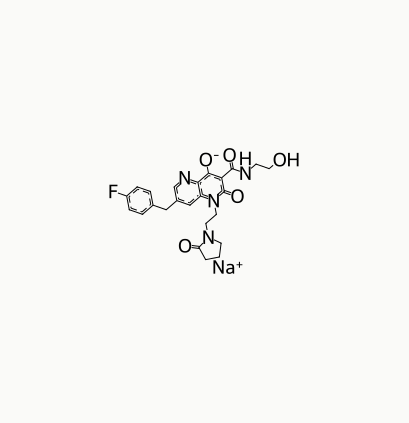 O=C(NCCO)c1c([O-])c2ncc(Cc3ccc(F)cc3)cc2n(CCN2CCCC2=O)c1=O.[Na+]